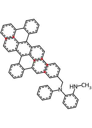 CNc1ccccc1N(Cc1ccc(-c2ccc3c(-c4ccccc4-c4ccccc4)c4ccccc4c(-c4ccccc4-c4ccccc4)c3c2)cc1)c1ccccc1